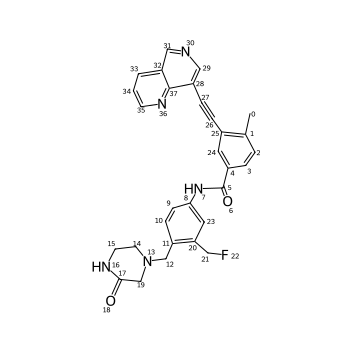 Cc1ccc(C(=O)Nc2ccc(CN3CCNC(=O)C3)c(CF)c2)cc1C#Cc1cncc2cccnc12